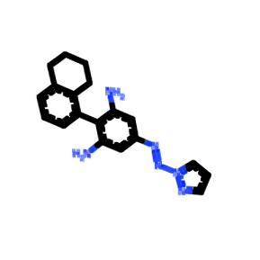 Nc1cc(/N=N/n2cccn2)cc(N)c1-c1cccc2c1CCCC2